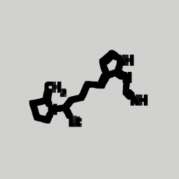 C=C1CCCN1C(CC)CCC/C=C1\C=CN\C1=N\C=N